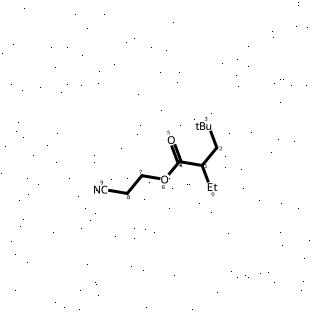 CCC(CC(C)(C)C)C(=O)OCCC#N